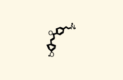 COc1ccc(C=CC(=O)c2ccc(CCN(C)C)cc2)cc1